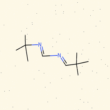 CC(C)(C)C=NC=NC(C)(C)C